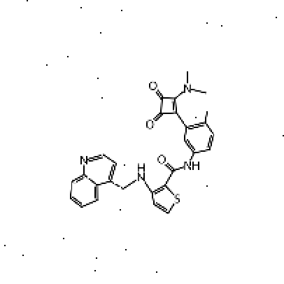 Cc1ccc(NC(=O)c2sccc2NCc2ccnc3ccccc23)cc1-c1c(N(C)C)c(=O)c1=O